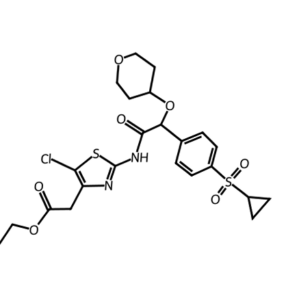 CCOC(=O)Cc1nc(NC(=O)C(OC2CCOCC2)c2ccc(S(=O)(=O)C3CC3)cc2)sc1Cl